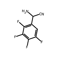 N#CC(N)c1cc(F)c(F)c(F)c1F